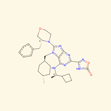 C[C@@H](Nc1nc(-c2noc(=O)[nH]2)nc2nc(N3CCOC[C@H]3Cc3ccccc3)n(C[C@H]3CC[C@H](C)CC3)c12)C1CCC1